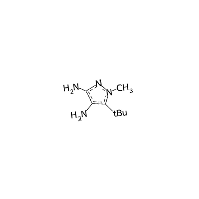 Cn1nc(N)c(N)c1C(C)(C)C